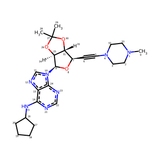 CN1CCN(C#C[C@H]2O[C@@H](n3cnc4c(NC5CCCC5)ncnc43)[C@H]3OC(C)(C)O[C@@H]32)CC1